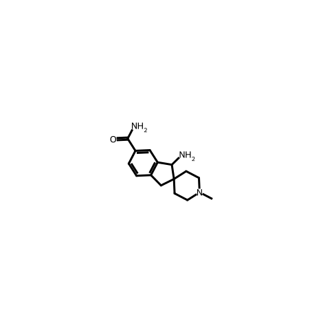 CN1CCC2(CC1)Cc1ccc(C(N)=O)cc1C2N